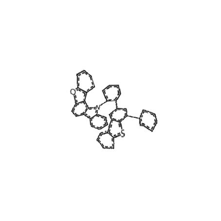 c1ccc(-c2cc(-c3ccccc3-n3c4ccccc4c4ccc5oc6ccccc6c5c43)cc3c2sc2ccccc23)cc1